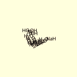 O.O.O.O.O.O.O.O.O.O.O.O.O=P(O)(O)O.[NaH]